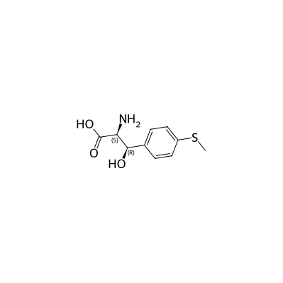 CSc1ccc([C@@H](O)[C@H](N)C(=O)O)cc1